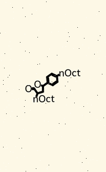 CCCCCCCCc1ccc(C2CC(CCCCCCCC)C(=O)O2)cc1